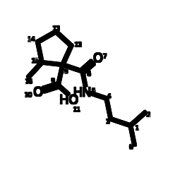 CC(C)CCNC(=O)C1(C(=O)O)CCCC1C